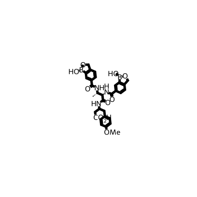 COc1ccc(CC(CC(=O)O)NC(=O)[C@@H](NC(=O)c2ccc3c(c2)B(O)OC3)[C@H](C)NC(=O)c2ccc3c(c2)B(O)OC3)cc1